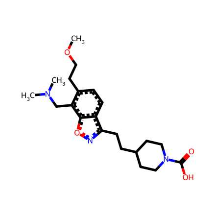 COCCc1ccc2c(CCC3CCN(C(=O)O)CC3)noc2c1CN(C)C